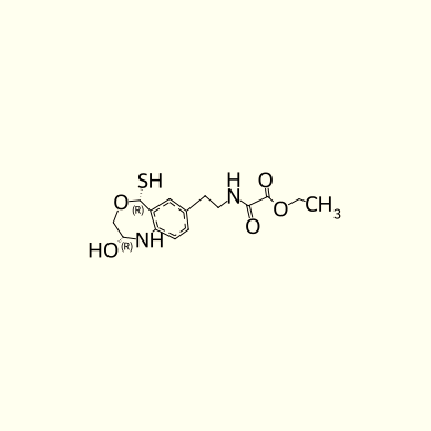 CCOC(=O)C(=O)NCCc1ccc2c(c1)[C@@H](S)OC[C@@H](O)N2